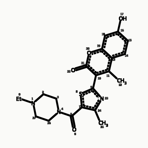 CCN1CCN(C(=O)c2sc(-c3c(C)c4ccc(O)cc4oc3=O)nc2C)CC1